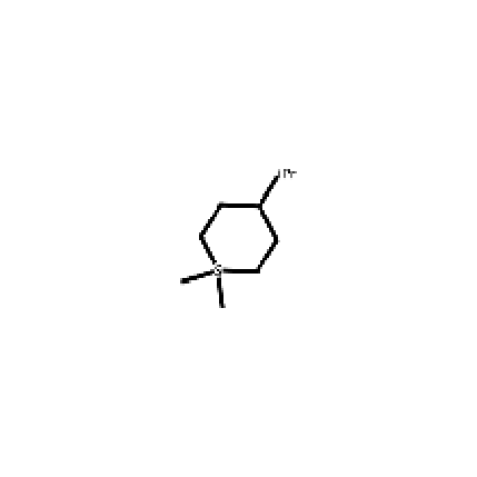 CC(C)C1CCS(C)(C)CC1